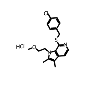 COCCn1c(C)c(C)c2ccnc(SCc3ccc(Cl)cc3)c21.Cl